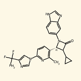 Cc1nc(-n2cnc(C(F)(F)P)c2)ccc1[C@H]1C(C2CC2)C(=O)N1c1ccc2[nH]cnc2c1